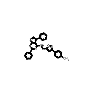 Cc1ccc(-c2cc(CNc3nc(-c4ccccc4)nc4scc(-c5ccccc5)c34)on2)cc1